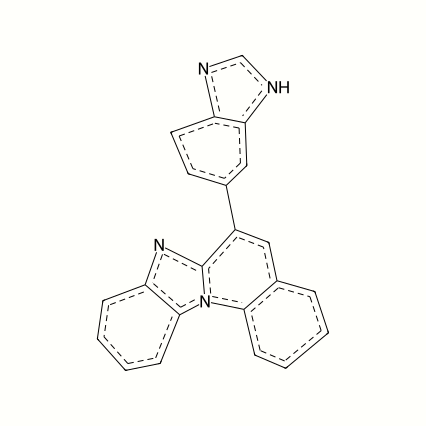 c1ccc2c(c1)cc(-c1ccc3nc[nH]c3c1)c1nc3ccccc3n12